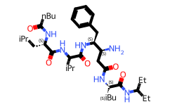 CCCCC(=O)N[C@@H](CC(C)C)C(=O)NC(C(=O)N[C@@H](Cc1ccccc1)[C@@H](N)CC(=O)N[C@H](C(=O)NC(CC)CC)[C@@H](C)CC)C(C)C